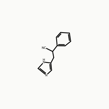 N#CC(Cc1cnc[nH]1)c1ccccc1